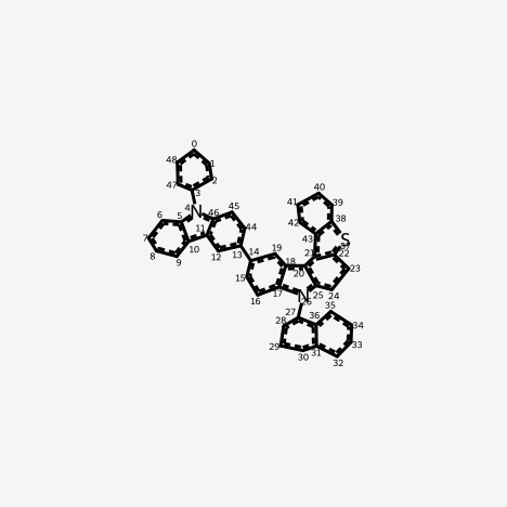 c1ccc(-n2c3ccccc3c3cc(-c4ccc5c(c4)c4c6c(ccc4n5-c4cccc5ccccc45)sc4ccccc46)ccc32)cc1